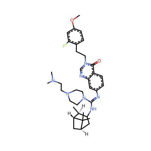 COc1ccc(CCn2cnc3cc(N=C(NC4C[C@H]5C[C@H]([C@H]4C)C5(C)C)N4CCN(CCN(C)C)CC4)ccc3c2=O)c(F)c1